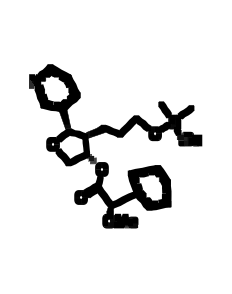 CO[C@@H](C(=O)O[C@@H]1CO[C@@H](c2cccnc2)[C@H]1CCCO[Si](C)(C)C(C)(C)C)c1ccccc1